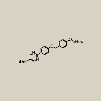 CCCCCCCCCCc1cnc(-c2ccc(OCc3ccc(OCCCCCC)cc3)cc2)nc1